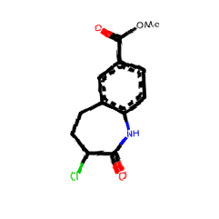 COC(=O)c1ccc2c(c1)CCC(Cl)C(=O)N2